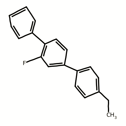 CCc1ccc(-c2ccc(-c3ccccc3)c(F)c2)cc1